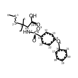 CSSC(C)(C)[C@@H](NS(=O)(=O)c1ccc(Oc2ccccc2)cc1)C(=O)O